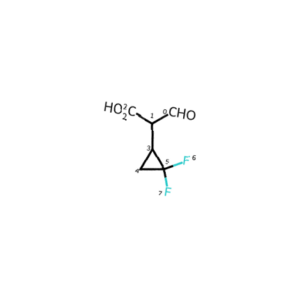 O=CC(C(=O)O)C1CC1(F)F